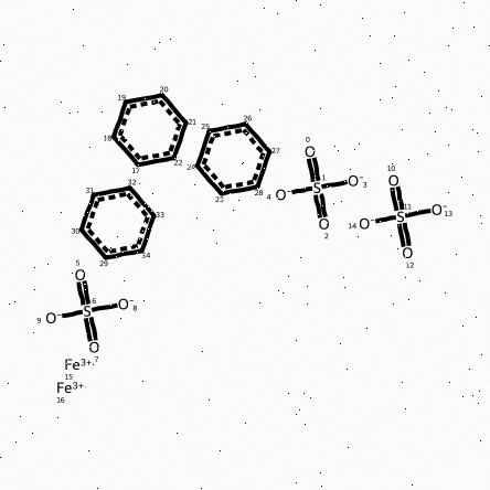 O=S(=O)([O-])[O-].O=S(=O)([O-])[O-].O=S(=O)([O-])[O-].[Fe+3].[Fe+3].c1ccccc1.c1ccccc1.c1ccccc1